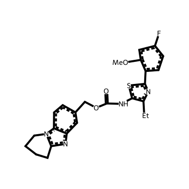 CCc1nc(-c2ccc(F)cc2OC)sc1NC(=O)OCc1ccc2c(c1)nc1n2CCCC1